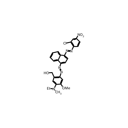 CCN(C)c1cc(CO)c(N=Nc2ccc(N=Nc3ccc([N+](=O)[O-])cc3Cl)c3ccccc23)cc1OC